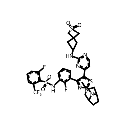 CN1CC2CCC(C1)N2c1nc(-c2cccc(NS(=O)(=O)c3c(F)cccc3C(F)(F)F)c2F)c(-c2ccnc(NC3CC4(C3)CS(=O)(=O)C4)n2)s1